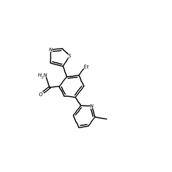 CCc1cc(-c2cccc(C)n2)cc(C(N)=O)c1-c1cncs1